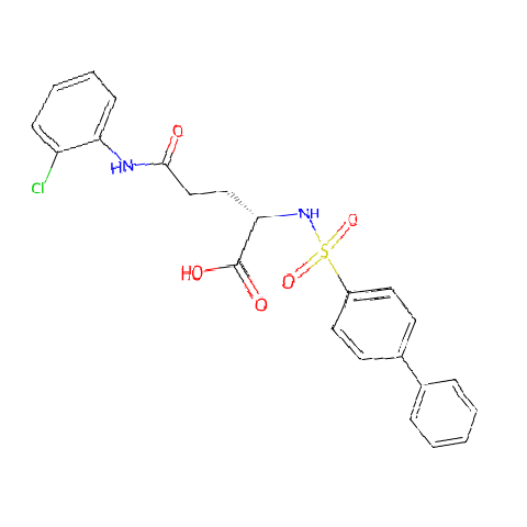 O=C(CC[C@H](NS(=O)(=O)c1ccc(-c2ccccc2)cc1)C(=O)O)Nc1ccccc1Cl